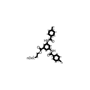 CCCCCCCCCCCCOC(=O)c1cc(NC(=O)c2ccc(C)cc2)cc(NC(=O)c2ccc(C)cc2)c1